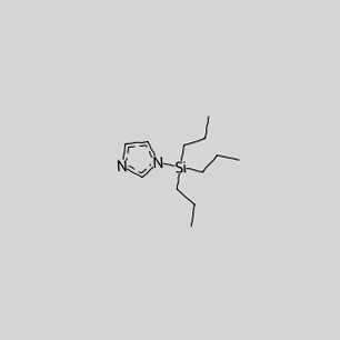 CCC[Si](CCC)(CCC)n1ccnc1